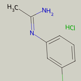 CC(N)=Nc1cccc(Cl)c1.Cl